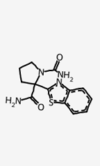 NC(=O)N1CCCC1(C(N)=O)c1nc2ccccc2s1